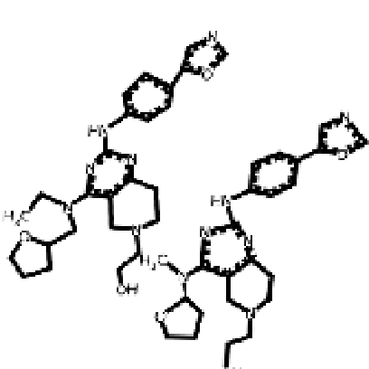 CCN(CC1CCCO1)c1nc(Nc2ccc(-c3cnco3)cc2)nc2c1CN(CCO)CC2.CN(c1nc(Nc2ccc(-c3cnco3)cc2)nc2c1CN(CCO)CC2)[C@H]1CCCO1